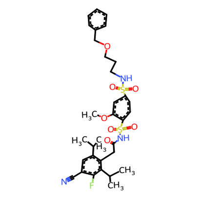 COc1cc(S(=O)(=O)NCCCOCc2ccccc2)ccc1S(=O)(=O)NC(=O)Cc1c(C(C)C)cc(C#N)c(F)c1C(C)C